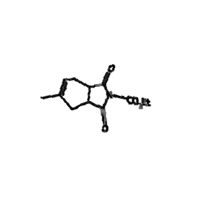 CCOC(=O)N1C(=O)C2CC=C(C)CC2C1=O